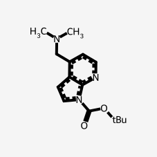 CN(C)Cc1ccnc2c1ccn2C(=O)OC(C)(C)C